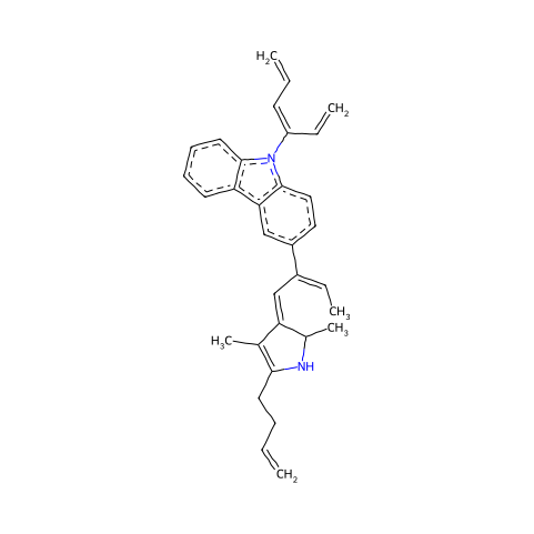 C=C/C=C(\C=C)n1c2ccccc2c2cc(C(/C=C3/C(C)=C(CCC=C)NC3C)=C/C)ccc21